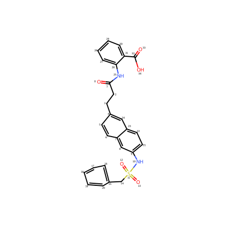 O=C(CCc1ccc2cc(NS(=O)(=O)Cc3ccccc3)ccc2c1)Nc1ccccc1C(=O)O